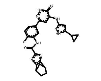 O=C(Nc1cc(-c2cc(Nc3cc(C4CC4)[nH]n3)c(=O)[nH]n2)ccc1F)c1nc2c(s1)C1CCC2C1